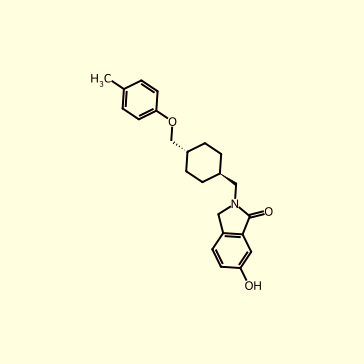 Cc1ccc(OC[C@H]2CC[C@H](CN3Cc4ccc(O)cc4C3=O)CC2)cc1